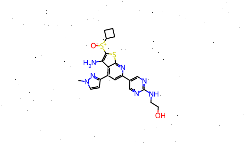 Cn1ccc(-c2cc(-c3cnc(NCCO)nc3)nc3sc([S+]([O-])C4CCC4)c(N)c23)n1